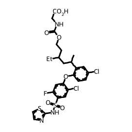 CCC(CCOC(=O)NCC(=O)O)CC(C)c1cc(Cl)ccc1Oc1cc(F)c(S(=O)(=O)Nc2nccs2)cc1Cl